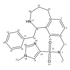 CN(Cc1ccc2c(c1)C(Cc1ccccc1)NCCC2)S(=O)(=O)c1cn(C)cn1